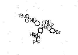 CC(C)(C)OC(=O)NC[C@H]1CC[C@H](C(=O)N(c2ccc(-c3nc(C(F)F)n[nH]3)cc2)[C@@H](Cc2ccc(Br)cc2)C(N)=O)CC1